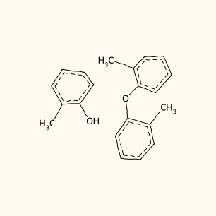 Cc1ccccc1O.Cc1ccccc1Oc1ccccc1C